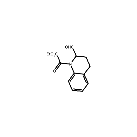 CCOC(=O)C(=O)N1c2ccccc2CCC1C=O